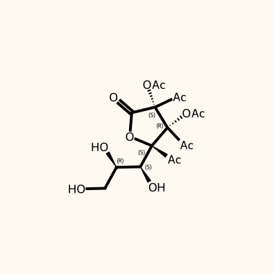 CC(=O)O[C@@]1(C(C)=O)C(=O)O[C@@](C(C)=O)([C@@H](O)[C@H](O)CO)[C@]1(OC(C)=O)C(C)=O